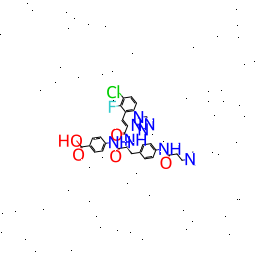 CN(C)CCC(=O)Nc1ccc(C[C@H](NC(=O)/C=C/c2c(-n3cnnn3)ccc(Cl)c2F)C(=O)Nc2ccc(C(=O)O)cc2)cc1